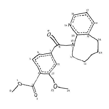 COC(=O)c1ccc(C(=O)N2CCCCc3cccnc32)cc1OC